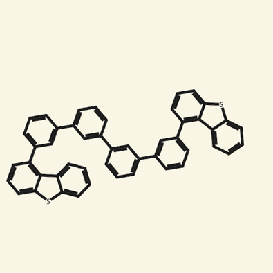 c1cc(-c2cccc(-c3cccc(-c4cccc5sc6ccccc6c45)c3)c2)cc(-c2cccc(-c3cccc4sc5ccccc5c34)c2)c1